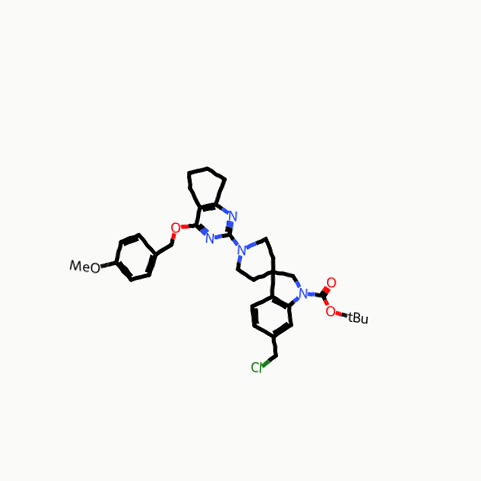 COc1ccc(COc2nc(N3CCC4(CC3)CN(C(=O)OC(C)(C)C)c3cc(CCl)ccc34)nc3c2CCCC3)cc1